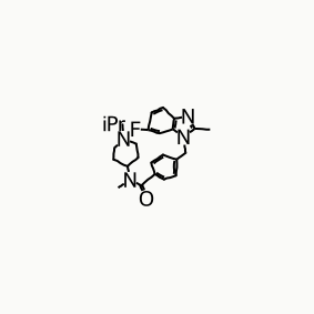 Cc1nc2ccc(F)cc2n1Cc1ccc(C(=O)N(C)C2CCN(C(C)C)CC2)cc1